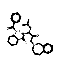 CC(C)C[C@H](NC(=O)[C@H]1CCCC[C@H]1NC(=O)c1ccccc1)C(=O)CN1CCCc2ccccc2C1